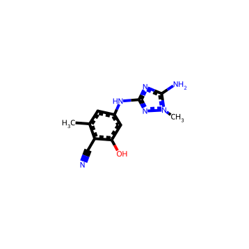 Cc1cc(Nc2nc(N)n(C)n2)cc(O)c1C#N